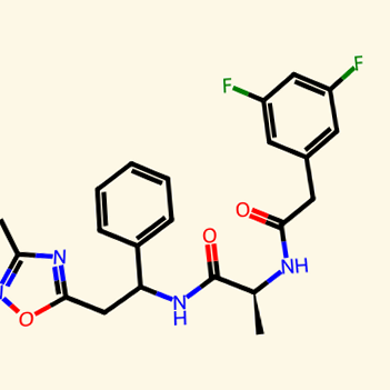 Cc1noc(CC(NC(=O)[C@H](C)NC(=O)Cc2cc(F)cc(F)c2)c2ccccc2)n1